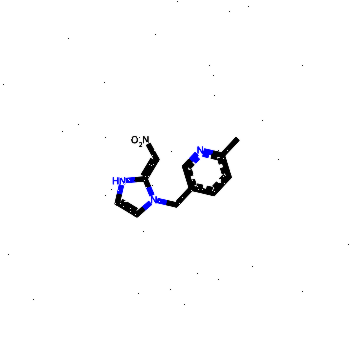 Cc1ccc(CN2C=CNC2=C[N+](=O)[O-])cn1